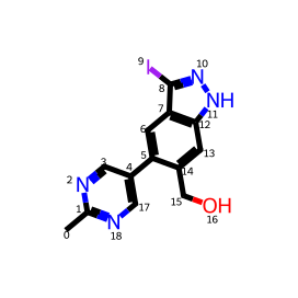 Cc1ncc(-c2cc3c(I)n[nH]c3cc2CO)cn1